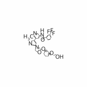 Cc1ncc(NC(=O)c2cccc(C(F)(F)F)c2)cc1-c1cncc(N2CCOC(O[C@@H]3CCC[C@@H](OCCO)C3)C2)c1